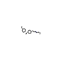 C=C([C@H]1CC[C@H](CC)CC1)[C@H]1CC[C@H](CC/C=C/C=O)CC1